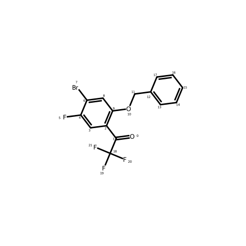 O=C(c1cc(F)c(Br)cc1OCc1ccccc1)C(F)(F)F